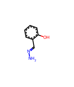 N/N=C/c1ccccc1O